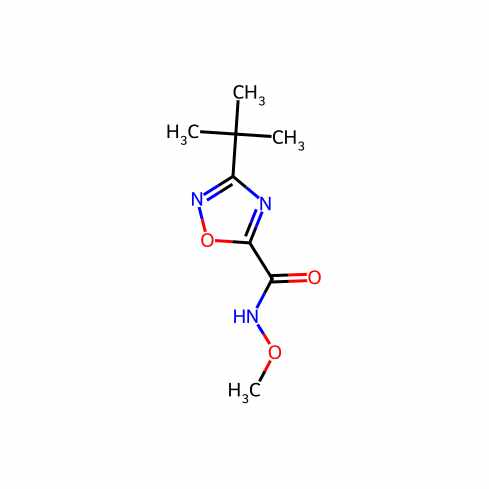 CONC(=O)c1nc(C(C)(C)C)no1